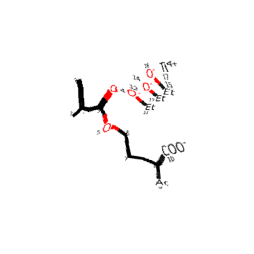 C=C(C)C(=O)OCCC(C(C)=O)C(=O)[O-].CC[O-].CC[O-].CC[O-].[Ti+4]